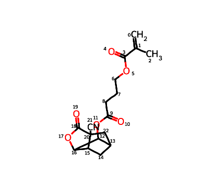 C=C(C)C(=O)OCCCC(=O)OC1C2CC3C1OC(=O)C3(C#N)C2